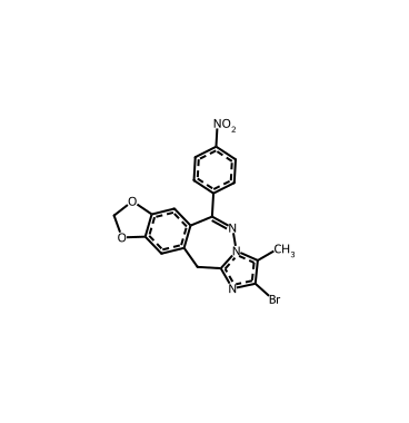 Cc1c(Br)nc2n1N=C(c1ccc([N+](=O)[O-])cc1)c1cc3c(cc1C2)OCO3